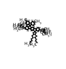 CCCCCCCCC1(CCCCCCCC)c2cc(B3OC(C)(C)C(C)(C)O3)ccc2-c2cc3c(cc21)-c1ccc(B2OC(C)(C)C(C)(C)O2)cc1C3(c1ccc(C)cc1)c1ccc(C)cc1